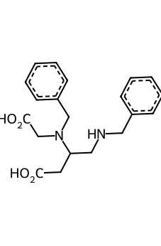 O=C(O)CC(CNCc1ccccc1)N(CC(=O)O)Cc1ccccc1